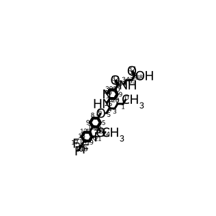 CCCCC(COc1ccc(-c2ccc(C(F)(F)F)cc2F)c(OC)c1)Nc1ccc(C(=O)NCCC(=O)O)cn1